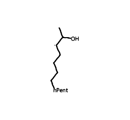 CCCCCCCCC[CH]C(C)O